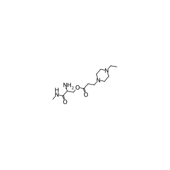 CCN1CCN(CCC(=O)OC[C@H](N)C(=O)NC)CC1